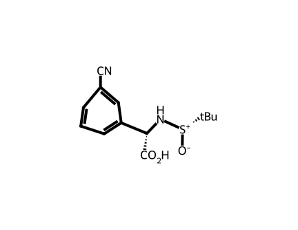 CC(C)(C)[S@+]([O-])N[C@H](C(=O)O)c1cccc(C#N)c1